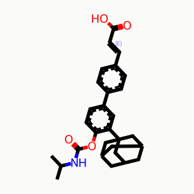 CC(C)NC(=O)Oc1ccc(-c2ccc(/C=C/C(=O)O)cc2)cc1C12CC3CC(CC(C3)C1)C2